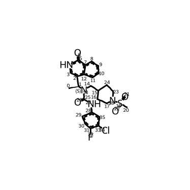 C[C@@H](c1c[nH]c(=O)c2ccccc12)N(CC1CCN(S(C)(=O)=O)CC1)C(=O)Nc1ccc(F)c(Cl)c1